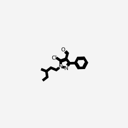 CCC(C)CCn1nc(-c2ccccc2)c(C=O)c1Cl